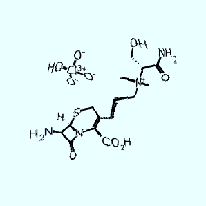 C[N+](C)(C/C=C/C1=C(C(=O)O)N2C(=O)[C@@H](N)[C@H]2SC1)[C@H](CO)C(N)=O.[O-][Cl+3]([O-])([O-])O